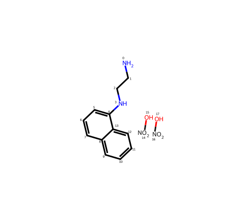 NCCNc1cccc2ccccc12.O=[N+]([O-])O.O=[N+]([O-])O